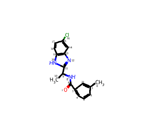 Cc1cccc(C(=O)NC(C)c2nc3cc(Cl)ccc3[nH]2)c1